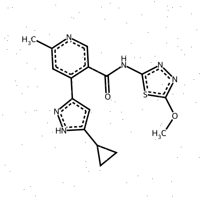 COc1nnc(NC(=O)c2cnc(C)cc2-c2cc(C3CC3)[nH]n2)s1